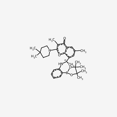 Cc1cc([C@@H](C)Nc2ccccc2B2OC(C)(C)C(C)(C)O2)c2oc(N3CCC(C)(C)CC3)c(C)c(=O)c2c1